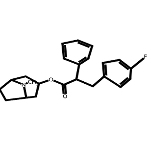 CN1C2CCC1CC(OC(=O)C(Cc1ccc(F)cc1)c1ccccc1)C2